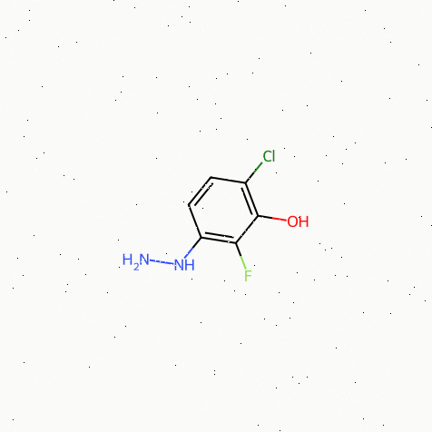 NNc1ccc(Cl)c(O)c1F